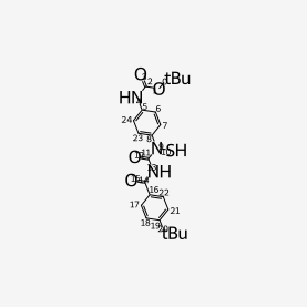 CC(C)(C)OC(=O)Nc1ccc(N(S)C(=O)NC(=O)c2ccc(C(C)(C)C)cc2)cc1